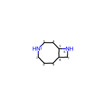 C1CNCCC2NCC2C1